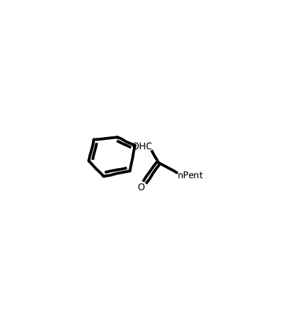 CCCCCC(=O)C=O.c1ccccc1